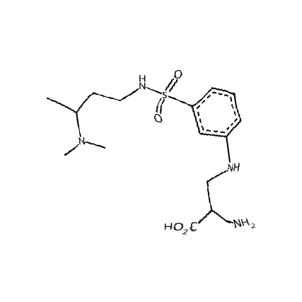 CC(CCNS(=O)(=O)c1cccc(NCC(N)C(=O)O)c1)N(C)C